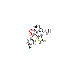 CC(C)C(=O)C(C(=O)O)C(C(=O)c1ccc(F)cc1)c1cccs1